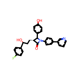 O=C1[C@H](CC[C@H](O)c2ccc(F)cc2)C(c2ccc(O)cc2)N1c1ccc(-c2cccnc2)cc1